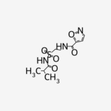 CC(C)C(=O)NS(=O)(=O)CCNC(=O)c1ccno1